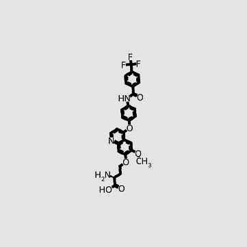 COc1cc2c(Oc3ccc(NC(=O)c4ccc(C(F)(F)F)cc4)cc3)ccnc2cc1OCC[C@H](N)C(=O)O